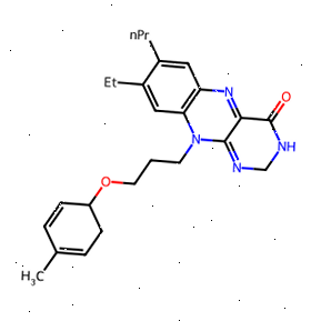 CCCc1cc2c(cc1CC)N(CCCOC1C=CC(C)=CC1)C1=NCNC(=O)C1=N2